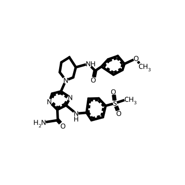 COc1ccc(C(=O)NC2CCCN(c3cnc(C(N)=O)c(Nc4ccc(S(C)(=O)=O)cc4)n3)C2)cc1